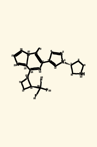 Cc1c(-c2cnn([C@@H]3CCNC3)c2)nc(N2CC[C@@H]2C(F)(F)F)c2nccn12